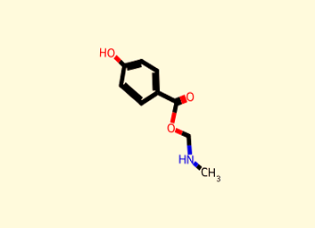 CNCOC(=O)c1ccc(O)cc1